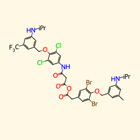 Cc1cc(COc2c(Br)cc(CC(=O)OC(=O)CC(=O)Nc3cc(Cl)c(OCc4cc(NC(C)C)cc(C(F)(F)F)c4)c(Cl)c3)cc2Br)cc(NC(C)C)c1